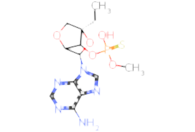 CC[C@@]12COC(C1OP(O)(=S)OC)[C@H](n1cnc3c(N)ncnc31)O2